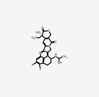 CC[C@@]1(O)C(=O)OCc2c1cc1n(c2=O)Cc2c-1nc1cc(F)c(F)c3c1c2C(NC(C)O)CC3